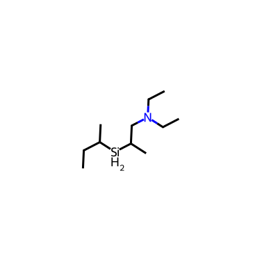 CCC(C)[SiH2]C(C)CN(CC)CC